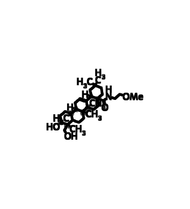 COCCNC(=O)[C@]12CCC(C)(C)C[C@@H]1C1=CC[C@@H]3[C@@]4(C)CC[C@H](O)[C@@](C)(CO)C4CC[C@@]3(C)[C@]1(C)CC2